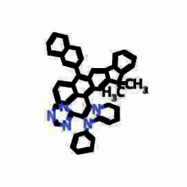 CC1(C)c2ccccc2-c2cc3c(-c4ccc5ccccc5c4)c4ccccc4c(C4=C(c5ncncn5)N(c5ccccc5)C5=CC=CCN54)c3cc21